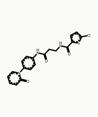 O=C(CCNC(=O)c1ccc(Cl)s1)Nc1ccc(-n2ccccc2=O)cc1